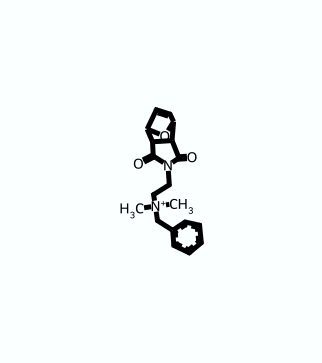 C[N+](C)(CCN1C(=O)C2C3C=CC(O3)C2C1=O)Cc1ccccc1